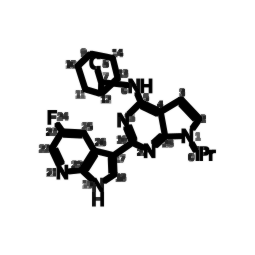 CC(C)n1ccc2c(NC3CC4CCC3CC4)nc(-c3c[nH]c4ncc(F)cc34)nc21